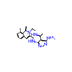 C=C1c2c(C)cccc2C=C(CNc2ncnc(N)c2C(C)=N)N1CC